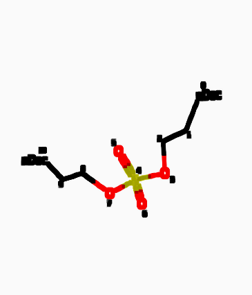 CCCCCCCCCCCCOS(=O)(=O)OCCCCCCCCCCCC